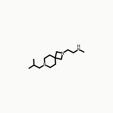 CNCCN1CC2(CCN(CC(C)C)CC2)C1